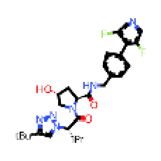 CC(C)[C@@H](C(=O)N1C[C@H](O)C[C@H]1C(=O)NCc1ccc(-c2c(F)cncc2F)cc1)n1cc(C(C)(C)C)nn1